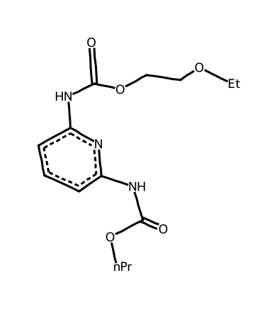 CCCOC(=O)Nc1cccc(NC(=O)OCCOCC)n1